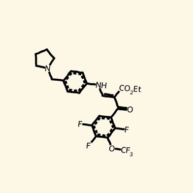 CCOC(=O)/C(=C\Nc1ccc(CN2CCCC2)cc1)C(=O)c1cc(F)c(F)c(OC(F)(F)F)c1F